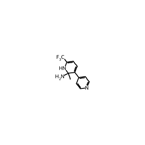 CC1(N)NC(C(F)(F)F)=CC=C1c1ccncc1